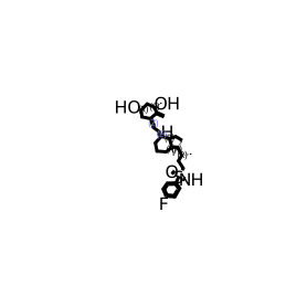 C=C1/C(=C\C=C2/CCC[C@]3(C)[C@@H]([C@H](C)CCS(=N)(=O)c4ccc(F)cc4)CC[C@@H]23)C[C@@H](O)C[C@@H]1O